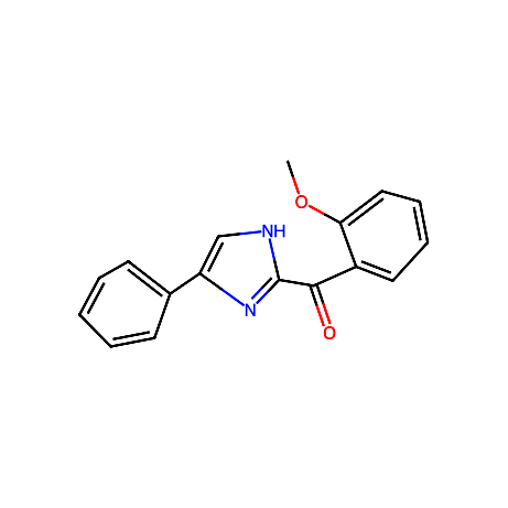 COc1ccccc1C(=O)c1nc(-c2ccccc2)c[nH]1